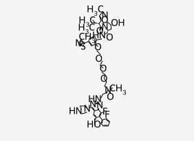 Cc1cc([C@@H](C(=O)N2C[C@H](O)C[C@H]2C(=O)NCc2ccc(-c3scnc3C)cc2OCCOCCOCCOCCN(C)C(=O)CCNc2nc(N3CCNCC3)c3cc(I)c(-c4c(O)cccc4F)c(F)c3n2)C(C)C)on1